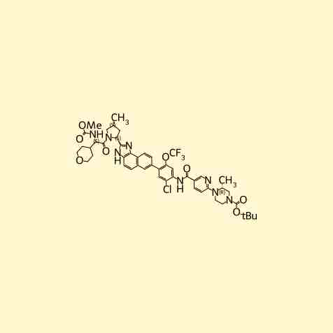 COC(=O)N[C@H](C(=O)N1C[C@@H](C)C[C@H]1c1nc2c(ccc3cc(-c4cc(Cl)c(NC(=O)c5ccc(N6CCN(C(=O)OC(C)(C)C)C[C@H]6C)nc5)cc4OC(F)(F)F)ccc32)[nH]1)C1CCOCC1